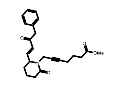 COC(=O)CCCC#CCN1C(=O)CCCC1/C=C/C(=O)Cc1ccccc1